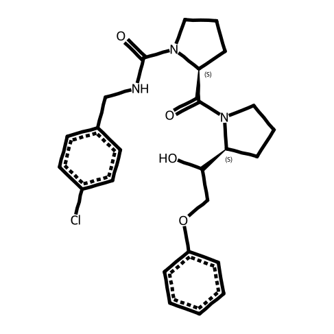 O=C(NCc1ccc(Cl)cc1)N1CCC[C@H]1C(=O)N1CCC[C@H]1C(O)COc1ccccc1